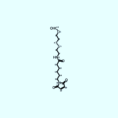 O=COCCSSCCNC(=O)CCCCCN1C(=O)C=CC1=O